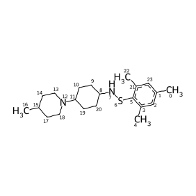 Cc1cc(C)c(SNC2CCC(N3CCC(C)CC3)CC2)c(C)c1